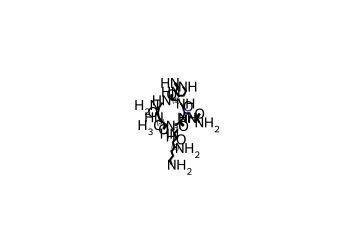 C[C@@H]1NC(=O)C(N)CNC(=O)[C@H](C2CCNC(=N)N2)NC(=O)/C(=C/NC(N)=O)NC(=O)[C@H](CNC(=O)C[C@@H](N)CCCN)NC1=O